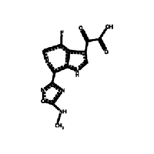 CNc1nc(-c2ncc(F)c3c(C(=O)C(=O)O)c[nH]c23)no1